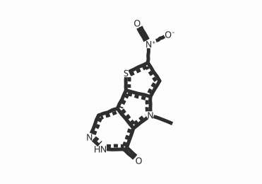 Cn1c2cc([N+](=O)[O-])sc2c2cn[nH]c(=O)c21